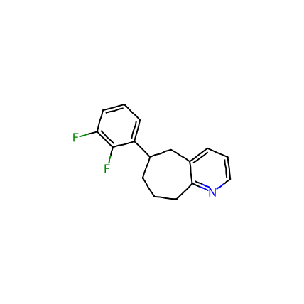 Fc1cccc(C2CCCc3ncccc3C2)c1F